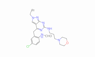 CC(C)Cn1cc2c(Cc3cc(Cl)ccc3NC=O)nc(NCCCN3CCOCC3)nc2n1